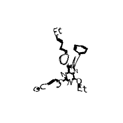 CCC=CCCOc1c2nc(SC=C=O)nc(OCC)c2nn1-c1ccccc1